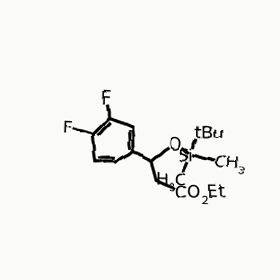 CCOC(=O)CC(O[Si](C)(C)C(C)(C)C)c1ccc(F)c(F)c1